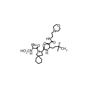 CC(F)(F)CCC(NC(=O)C1CC2(CCCCC2)CN1C(=O)C(NC(=O)O)C(C)(C)C)C(=O)C(=O)NCCN1CCOCC1